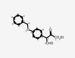 CCOC(=O)C(=O)C(C=O)c1ccc(OCc2ccccc2)cc1